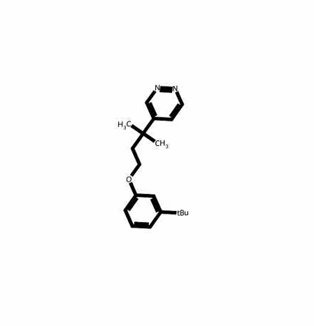 CC(C)(C)c1cccc(OCCC(C)(C)c2ccnnc2)c1